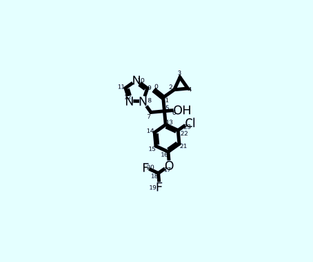 C=C(C1CC1)C(O)(Cn1cncn1)c1ccc(OC(F)F)cc1Cl